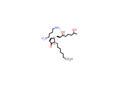 CC(O)CCC[C@H](O)C=C[C@H]1C=CC(=O)[C@@H]1CCCCCCC(=O)O.NCCCCN